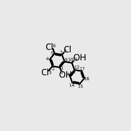 Oc1c(Cl)cc(Cl)c(Cl)c1C(O)c1ccccc1